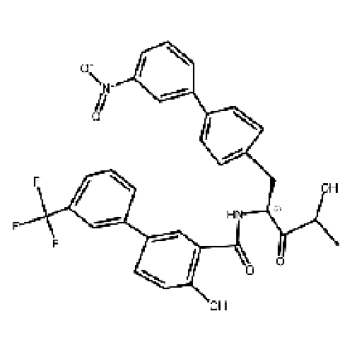 CC(O)C(=O)[C@H](Cc1ccc(-c2cccc([N+](=O)[O-])c2)cc1)NC(=O)c1cc(-c2cccc(C(F)(F)F)c2)ccc1O